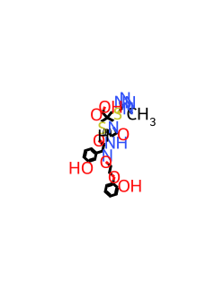 Cn1nnnc1SCC1(C(=O)O)CS[C@@H]2C(NC(=O)C(=NOCCOc3ccccc3O)c3cccc(O)c3)C(=O)N2C1